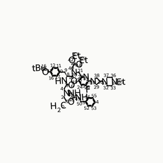 C=CCN(CC(=O)N[C@@H](Cc1ccc(OC(C)(C)C)cc1)C(=O)N(Cc1ccc(F)c(N2CC(N3CCN(CC)CC3)C2)n1)CC(OCC)OCC)NC(=O)NCc1ccccc1